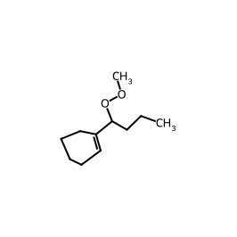 CCCC(OOC)C1=CCCCC1